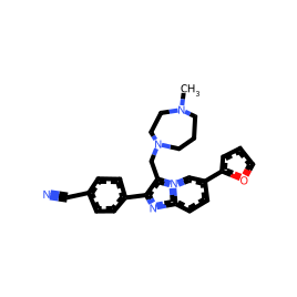 CN1CCCN(Cc2c(-c3ccc(C#N)cc3)nc3ccc(-c4ccco4)cn23)CC1